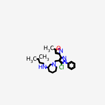 Cc1cc(-c2nn(-c3ccccc3)c(Cl)c2CN2CCCCC(NCCC(C)C)C2)no1